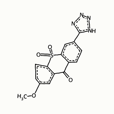 COc1ccc2c(c1)C(=O)c1ccc(-c3nnn[nH]3)cc1S2(=O)=O